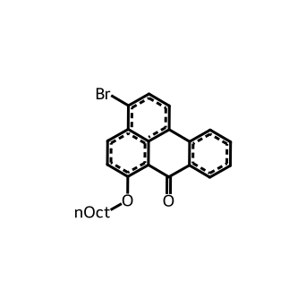 CCCCCCCCOc1ccc2c(Br)ccc3c2c1C(=O)c1ccccc1-3